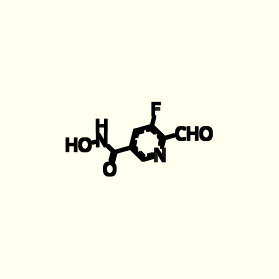 O=Cc1ncc(C(=O)NO)cc1F